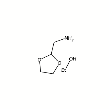 CCO.NCC1OCCO1